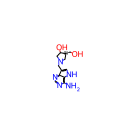 Nc1ncnc2c(CN3CC(O)[C@@H](CO)C3)c[nH]c12